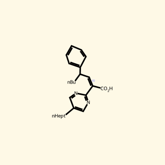 CCCCCCCc1cnc(/C(=C\C(CCCC)c2ccccc2)C(=O)O)nc1